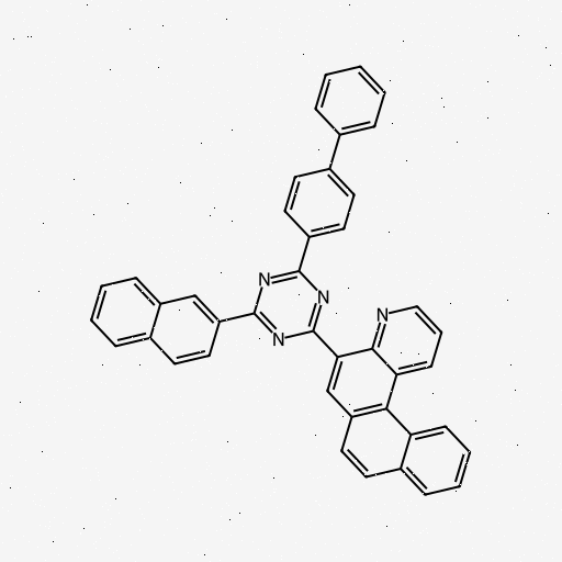 c1ccc(-c2ccc(-c3nc(-c4ccc5ccccc5c4)nc(-c4cc5ccc6ccccc6c5c5cccnc45)n3)cc2)cc1